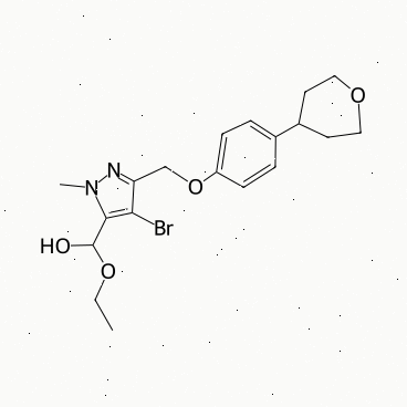 CCOC(O)c1c(Br)c(COc2ccc(C3CCOCC3)cc2)nn1C